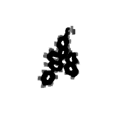 C1=Cc2ccccc2OC1.CC1=Cc2ccc3c(c2=CC1)=CCC1=C3C=C[C@@H](c2ccccc2)C1